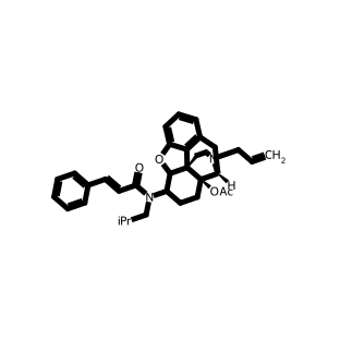 C=CCN1CC[C@]23c4c5cccc4OC2C(N(CC(C)C)C(=O)/C=C/c2ccccc2)CC[C@@]3(OC(C)=O)[C@H]1C5